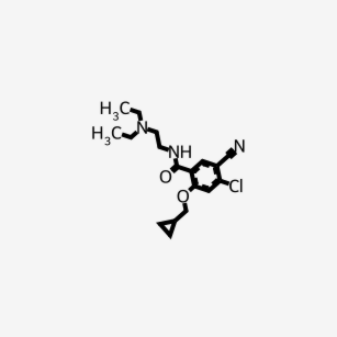 CCN(CC)CCNC(=O)c1cc(C#N)c(Cl)cc1OCC1CC1